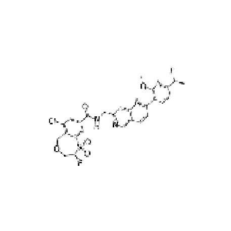 COc1nc([C@H](C)F)ccc1-c1ccc2cnc(CNC(=O)c3cc(Cl)c4c(c3)S(=O)(=O)[C@@H](F)COC4)cc2n1